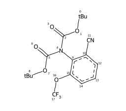 CC(C)(C)OC(=O)N(C(=O)OC(C)(C)C)c1c(C#N)cccc1OC(F)(F)F